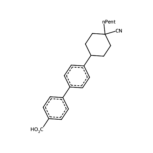 CCCCCC1(C#N)CCC(c2ccc(-c3ccc(C(=O)O)cc3)cc2)CC1